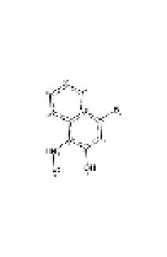 CCNc1c(O)cc(Br)c2ccccc12